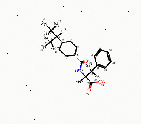 [2H]C(NC(=O)[C@H]1CC[C@H](C([2H])(C([2H])([2H])[2H])C([2H])([2H])[2H])CC1)(C(=O)O)C([2H])([2H])c1ccccc1